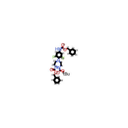 CC(C)(C)OC(=O)N1CCN(c2c(F)cc(NC(=O)OCc3ccccc3)cc2F)CCN1C(=O)OCc1ccccc1